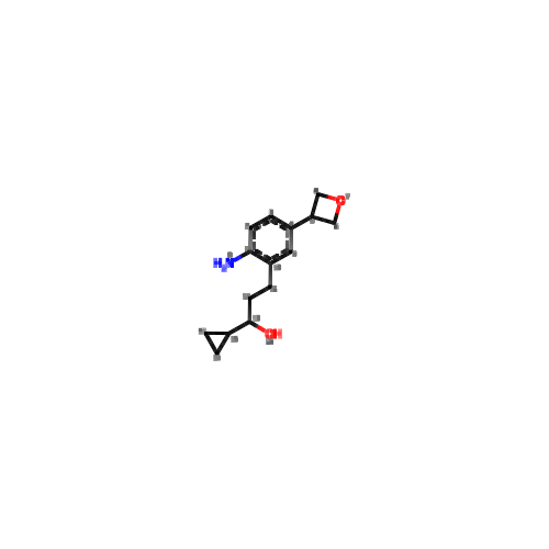 Nc1ccc(C2COC2)cc1CCC(O)C1CC1